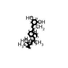 C=C1/C(=C\C=C2/CCC[C@]3(C)[C@@H]([C@H](C)/C=C/C4(C(C)(C)O)CC4)CC[C@@H]23)C[C@@H](O)C[C@@H]1O